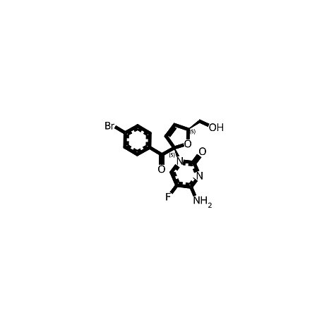 Nc1nc(=O)n([C@@]2(C(=O)c3ccc(Br)cc3)C=C[C@@H](CO)O2)cc1F